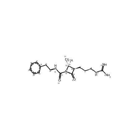 N=C(N)NCCC[C@H]1C(=O)N(C(=O)NCCc2ccccc2)[C@@H]1C(=O)O